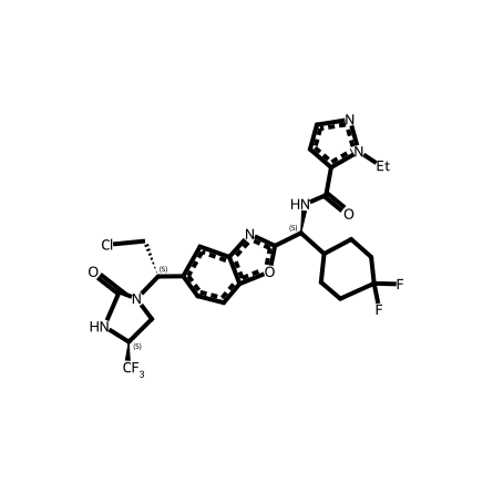 CCn1nccc1C(=O)N[C@H](c1nc2cc([C@@H](CCl)N3C[C@@H](C(F)(F)F)NC3=O)ccc2o1)C1CCC(F)(F)CC1